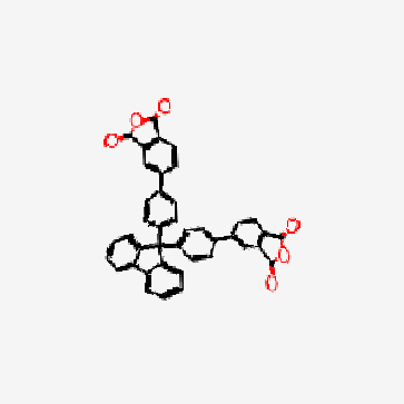 O=C1OC(=O)c2cc(-c3ccc(C4(c5ccc(-c6ccc7c(c6)C(=O)OC7=O)cc5)c5ccccc5-c5ccccc54)cc3)ccc21